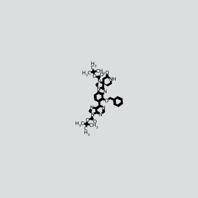 CC(C)(C)OC(=O)N1Cn2c(nc3c(OCc4ccccc4)c(-c4ncnc5c4ncn5C(=O)OC(C)(C)C)ccc32)[C@]12CCNC(=O)C2